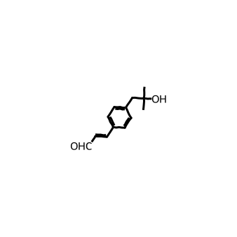 CC(C)(O)Cc1ccc(/C=C/C=O)cc1